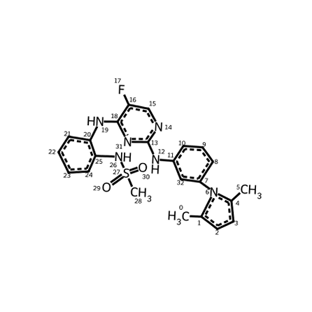 Cc1ccc(C)n1-c1cccc(Nc2ncc(F)c(Nc3ccccc3NS(C)(=O)=O)n2)c1